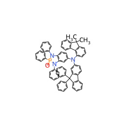 CC1(C)c2ccccc2-c2c(N(c3ccc4c(c3)N(c3ccccc3)P(=O)(c3ccccc3)N4c3ccccc3)c3ccc4c(c3)C(c3ccccc3)(c3ccccc3)c3ccccc3-4)cccc21